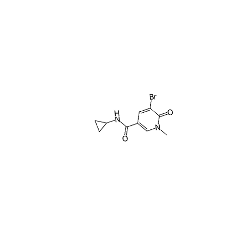 Cn1cc(C(=O)NC2CC2)cc(Br)c1=O